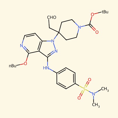 CCCCOc1nccc2c1c(Nc1ccc(S(=O)(=O)N(C)C)cc1)nn2C1(CC=O)CCN(C(=O)OC(C)(C)C)CC1